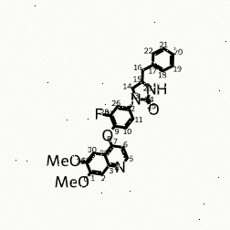 COc1cc2nccc(Oc3ccc(N4CC(Cc5ccccc5)NC4=O)cc3F)c2cc1OC